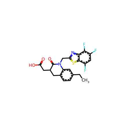 CCc1ccc2c(c1)N(Cc1nc3c(F)c(F)cc(F)c3s1)C(=O)C(CC(=O)O)C2